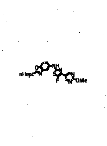 CCCCCCCc1nc2cc(Nc3nc(-c4cnc(OC)nc4)c(F)s3)ccc2o1